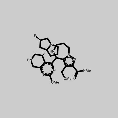 CNC(=O)c1nn2c(c1COC)C(c1nc(OC)nc3c1C([C@@]14CCCN1C[C@H](F)C4)CNC3)NCCC2